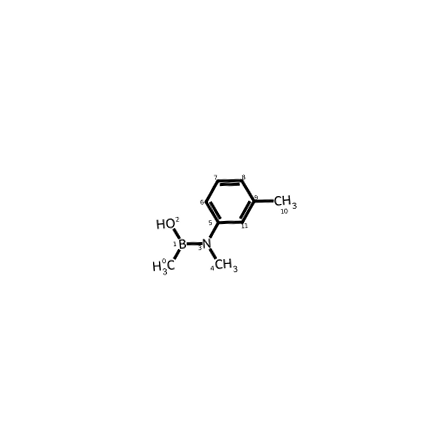 CB(O)N(C)c1cccc(C)c1